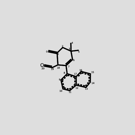 C=C1CC(C)(C)C=C(c2cccc3ccccc23)C1C=O